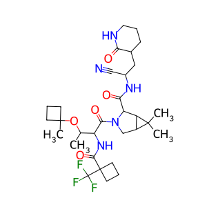 CC(OC1(C)CCC1)C(NC(=O)C1(C(F)(F)F)CCC1)C(=O)N1CC2C(C1C(=O)NC(C#N)CC1CCCNC1=O)C2(C)C